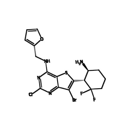 N[C@H]1CCCC(F)(F)[C@@H]1c1sc2c(NCc3ccco3)nc(Cl)nc2c1Br